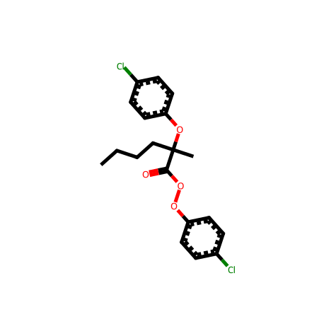 CCCCC(C)(Oc1ccc(Cl)cc1)C(=O)OOc1ccc(Cl)cc1